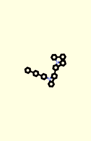 c1ccc(-c2ccc(-c3ccc(-n4c5ccccc5c5ccc(-c6ccc7c(c6)c6ccccc6n7-c6ccccc6-c6ccccc6)cc54)cc3)cc2)cc1